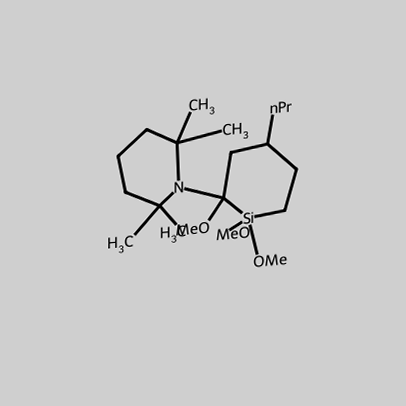 CCCC1CC[Si](OC)(OC)C(OC)(N2C(C)(C)CCCC2(C)C)C1